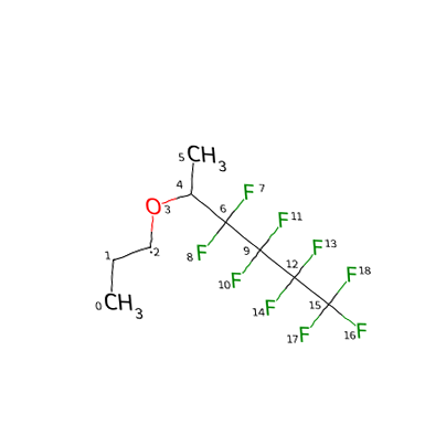 CC[CH]OC(C)C(F)(F)C(F)(F)C(F)(F)C(F)(F)F